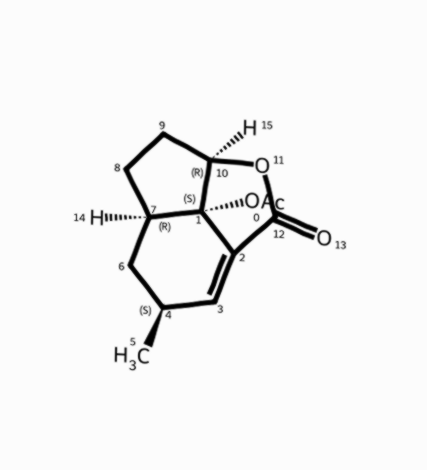 CC(=O)O[C@]12C3=C[C@@H](C)C[C@H]1CC[C@H]2OC3=O